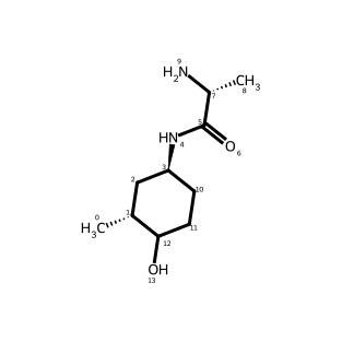 C[C@@H]1C[C@@H](NC(=O)[C@@H](C)N)CCC1O